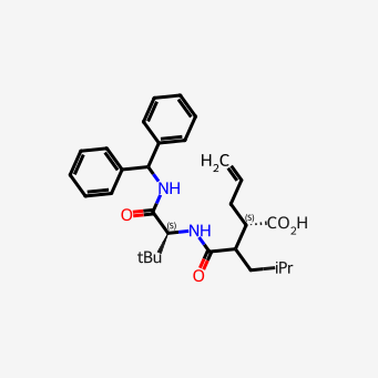 C=CC[C@H](C(=O)O)C(CC(C)C)C(=O)N[C@H](C(=O)NC(c1ccccc1)c1ccccc1)C(C)(C)C